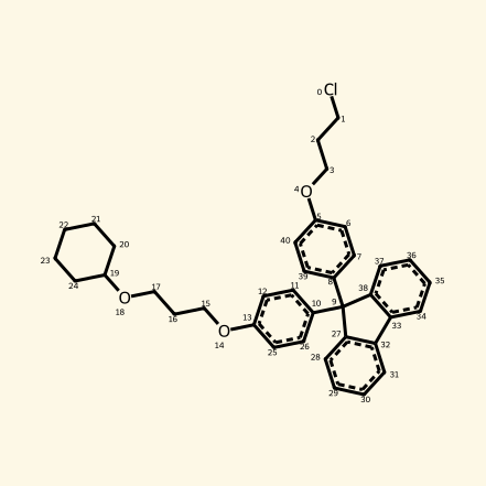 ClCCCOc1ccc(C2(c3ccc(OCCCOC4CCCCC4)cc3)c3ccccc3-c3ccccc32)cc1